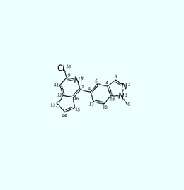 Cn1ncc2cc(-c3nc(Cl)cc4sccc34)ccc21